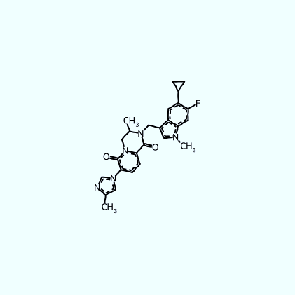 Cc1cn(-c2ccc3n(c2=O)CC(C)N(Cc2cn(C)c4cc(F)c(C5CC5)cc24)C3=O)cn1